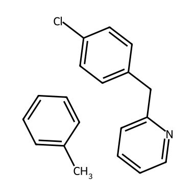 Cc1ccccc1.Clc1ccc(Cc2ccccn2)cc1